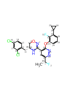 C[C@@H](F)c1cc(C2=NOC[C@@H](Cc3ccc(Cl)cc3Cl)N2)c(Oc2cccc(C3CC3)c2F)nn1